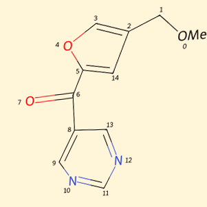 COCc1coc(C(=O)c2cncnc2)c1